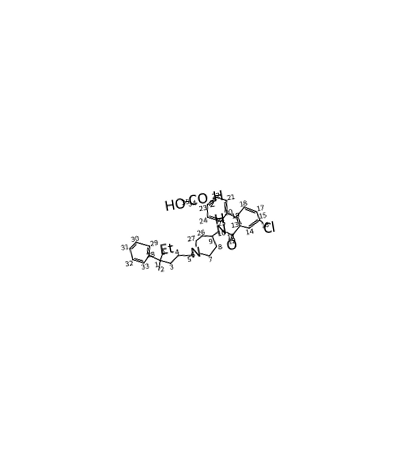 CCC(C)(CCCN1CCC(NC(=O)c2cc(Cl)ccc2-c2ccccc2)CC1)c1ccccc1.O=C(O)O